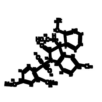 CCOc1ncccc1C1(NC(=O)O)C(=O)N(S(=O)(=O)c2ccc(OC)cc2OC)c2ccc(Cl)cc21